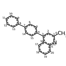 Cc1cc(-c2ccc(-c3ccccc3)cc2)c2ccccc2n1